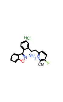 Cl.N#Cc1nc(C[C@H](N)c2ccccc2-c2noc3ccccc23)ccc1F